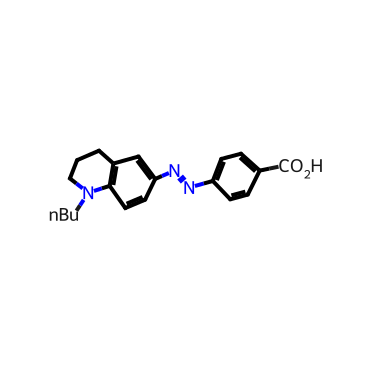 CCCCN1CCCc2cc(N=Nc3ccc(C(=O)O)cc3)ccc21